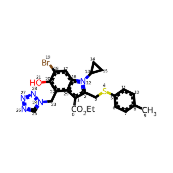 CCOC(=O)c1c(CSc2ccc(C)cc2)n(C2CC2)c2cc(Br)c(O)c(Cn3cnnn3)c12